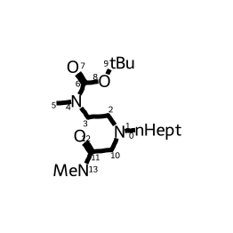 CCCCCCCN(CCN(C)C(=O)OC(C)(C)C)CC(=O)NC